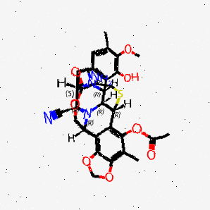 COc1c(C)cc2c(c1O)[C@@H]1[C@@H]3[C@@H]4SC[C@H](N)C(=O)OC[C@@H](c5c6c(c(C)c(OC(C)=O)c54)OCO6)N3[C@@H](C#N)[C@H](C2)N1C